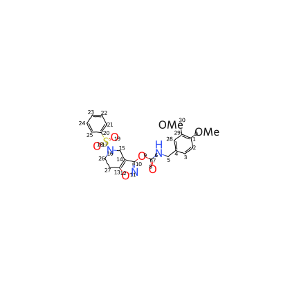 COc1ccc(CNC(=O)Oc2noc3c2CN(S(=O)(=O)c2ccccc2)CC3)cc1OC